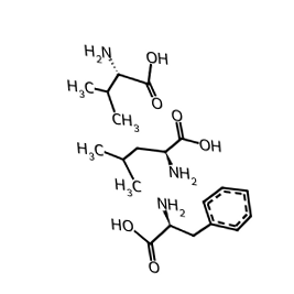 CC(C)C[C@H](N)C(=O)O.CC(C)[C@H](N)C(=O)O.N[C@@H](Cc1ccccc1)C(=O)O